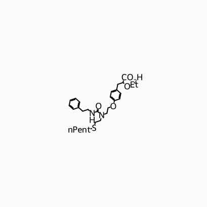 CCCCCSCCN(CCOc1ccc(CC(OCC)C(=O)O)cc1)C(=O)NCCc1ccccc1